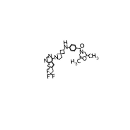 C[C@@H]1CN(C(=O)c2ccc(NC3CC4(CCN(c5ncnc6sc(CC(F)(F)F)cc56)C4)C3)cc2)C[C@H](C)O1